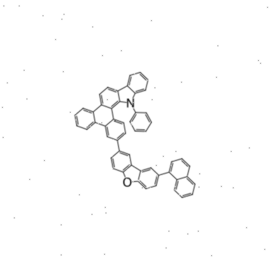 c1ccc(-n2c3ccccc3c3ccc4c5ccccc5c5cc(-c6ccc7oc8ccc(-c9cccc%10ccccc9%10)cc8c7c6)ccc5c4c32)cc1